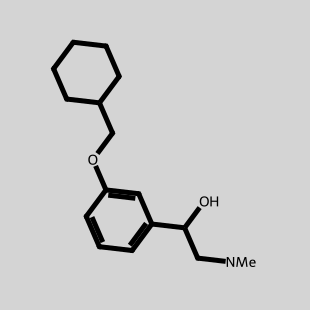 CNCC(O)c1cccc(OCC2CCCCC2)c1